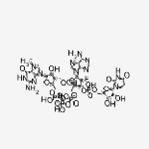 COC[C@H]1[C@@H](O)[C@H](n2c[n+](C)c3c(=O)[nH]c(N)nc32)O[C@@H]1COP(=O)(O)OP(=O)(O)OP(=O)(O)OC[C@H]1O[C@@H](n2cnc3c(N)ncnc32)[C@H](F)[C@@H]1OP(=O)(O)OC[C@H]1O[C@@H](n2ccc(=O)[nH]c2=O)[C@H](O)[C@@H]1O